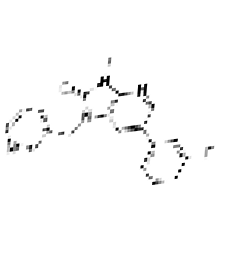 Cn1c(=O)n(Cc2cccnc2)c2cc(-c3cccc(F)c3)cnc21